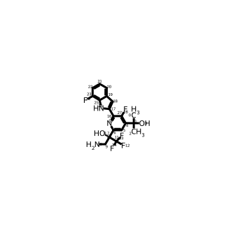 CC(C)(O)c1cc([C@@](O)(CN)C(F)(F)F)nc(-c2cc3cccc(F)c3[nH]2)c1F